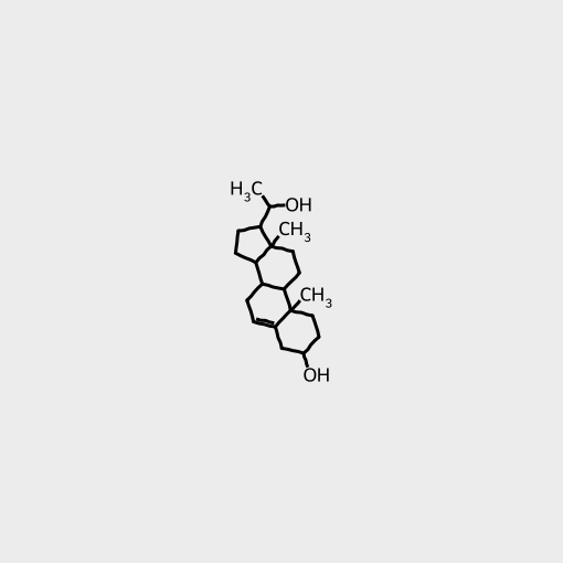 CC(O)C1CCC2C3CC=C4CC(O)CCC4(C)C3CCC12C